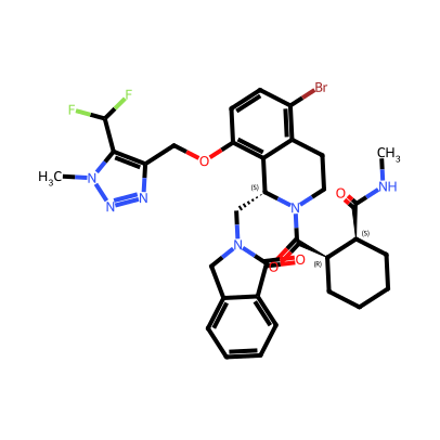 CNC(=O)[C@H]1CCCC[C@H]1C(=O)N1CCc2c(Br)ccc(OCc3nnn(C)c3C(F)F)c2[C@H]1CN1Cc2ccccc2C1=O